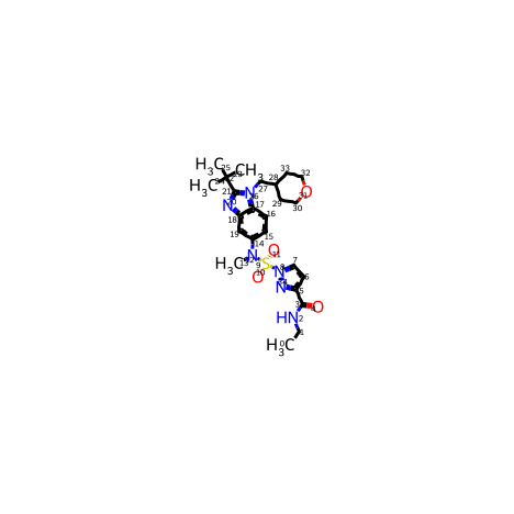 CCNC(=O)c1ccn(S(=O)(=O)N(C)c2ccc3c(c2)nc(C(C)(C)C)n3CC2CCOCC2)n1